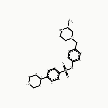 C[C@H]1CN(Cc2ccc(NS(=O)(=O)c3ccc(N4CCOCC4)nc3)cc2)CCN1